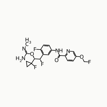 C/N=C(/N)O[C@@H]([C@H](F)c1cc(NC(=O)c2ccc(OCF)cn2)ccc1F)C1(F)CC1